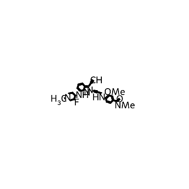 C#Cc1c2cccc(N[C@@H]3CCN(C)C[C@@H]3F)c2nn1C#CCNc1ccc(C(=O)NC)cc1OC